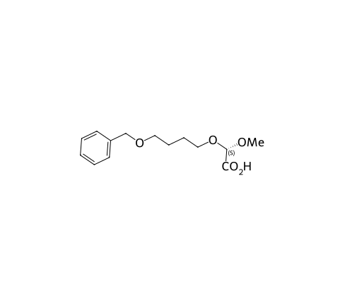 CO[C@@H](OCCCCOCc1ccccc1)C(=O)O